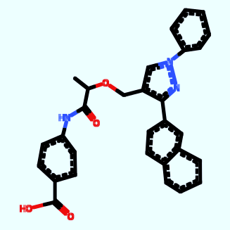 CC(OCc1cn(-c2ccccc2)nc1-c1ccc2ccccc2c1)C(=O)Nc1ccc(C(=O)O)cc1